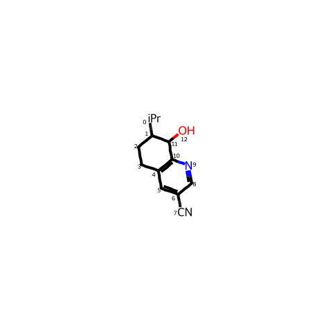 CC(C)C1CCc2cc(C#N)cnc2C1O